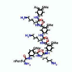 CCCCC[C@H](N)C(=O)Nc1ccc(OC)c(C(=O)N[C@@H](CCCCN)C(=O)Nc2ccc(OC)c(C(=O)N[C@@H](CCCCN)C(=O)Nc3ccc(SC)c(C(=O)N[C@@H](CCCCN)C(=O)Nc4ccc(SC)c(C(C)=O)c4)c3)c2)c1